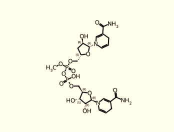 COP(=O)(OC[C@@H]1C[C@@H](O)[C@H](N2C=CCC(C(N)=O)=C2)O1)OP(=O)(O)OC[C@H]1O[C@@H](N2C=CCC(C(N)=O)=C2)[C@H](O)[C@@H]1O